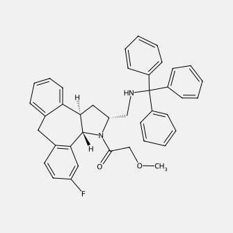 COCC(=O)N1[C@@H](CNC(c2ccccc2)(c2ccccc2)c2ccccc2)C[C@@H]2c3ccccc3Cc3ccc(F)cc3[C@H]21